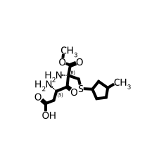 COC(=O)[C@@](N)(CSC1CCC(C)C1)C(=O)[C@@H](N)CC(=O)O